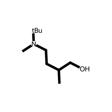 CC(CO)CCN(C)C(C)(C)C